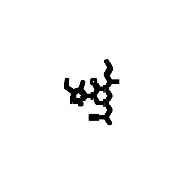 C#CC(C)CN1CN(c2snc(CC)c2C)C(=O)N(C(C)C=CC)C1